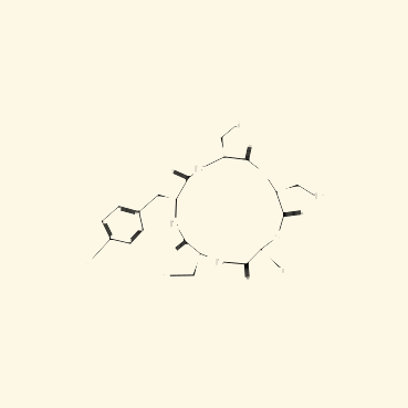 CC(C)C[C@@H]1NC(=O)[C@H](C(C)C)NC(=O)[C@H](CC(C)C)OC(=O)[C@H](CC(C)C)NC(=O)[C@H](Cc2ccc(Br)cc2)NC1=O